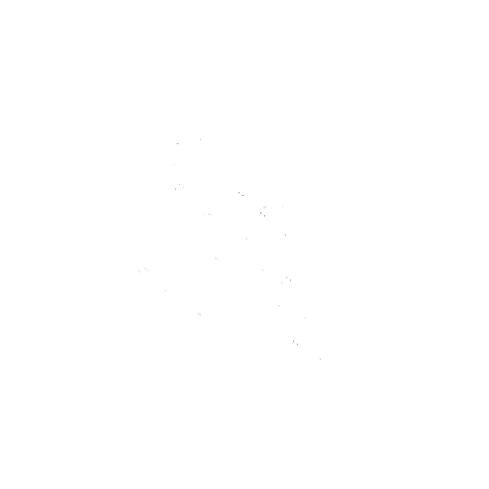 CN(C)CCNCc1ccn2nc(-c3ccccn3)nc(Nc3ccncc3F)c12